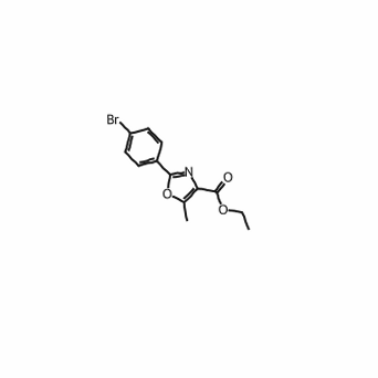 CCOC(=O)c1nc(-c2ccc(Br)cc2)oc1C